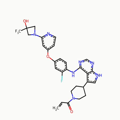 C=CC(=O)N1CCC(c2c[nH]c3ncnc(Nc4ccc(Oc5ccnc(N6CC(O)(C(F)(F)F)C6)c5)cc4F)c23)CC1